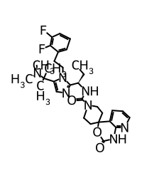 CC[C@@H](NC(=O)N1CCC2(CC1)OC(=O)Nc1ncccc12)c1ncc(C(C)(C)N(C)C)n1CCc1cccc(F)c1F